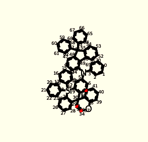 c1ccc(N(c2ccc3c(c2)[Si](c2ccccc2)(c2ccccc2)c2ccccc2C32c3ccccc3Oc3ccccc32)c2cccc3c2-c2ccccc2C3(c2ccccc2)c2ccccc2)cc1